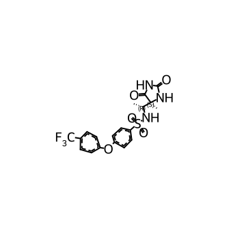 C[C@@H](NS(=O)(=O)c1ccc(Oc2ccc(C(F)(F)F)cc2)cc1)[C@]1(C)NC(=O)NC1=O